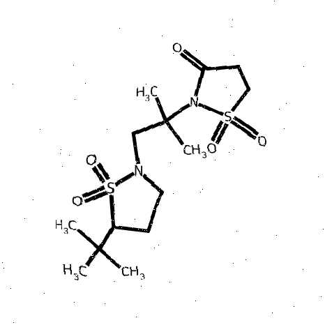 CC(C)(C)C1CCN(CC(C)(C)N2C(=O)CCS2(=O)=O)S1(=O)=O